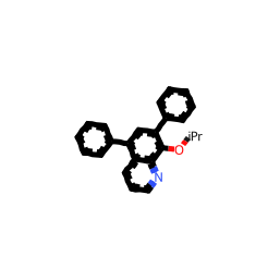 CC(C)Oc1c(-c2ccccc2)cc(-c2ccccc2)c2cccnc12